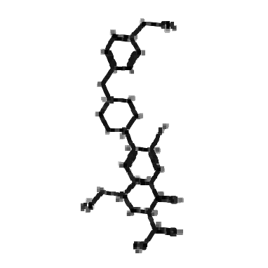 CCc1ccc(CN2CCN(c3cc4c(cc3F)c(=O)c(C(=O)O)cn4CC)CC2)cc1